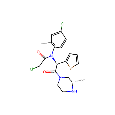 Cc1cc(Cl)ccc1N(C(=O)CCl)[C@H](C(=O)N1CCN[C@@H](C(C)C)C1)c1cccs1